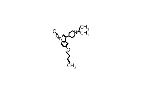 CC=CCCOc1ccc2c(c1)c(C1CCN(C(C)CC)CC1)cn2N=C=O